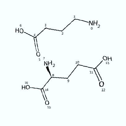 NCCCC(=O)O.N[C@@H](CCC(=O)O)C(=O)O